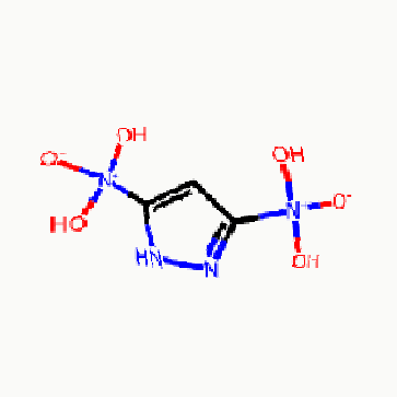 [O-][N+](O)(O)c1cc([N+]([O-])(O)O)[nH]n1